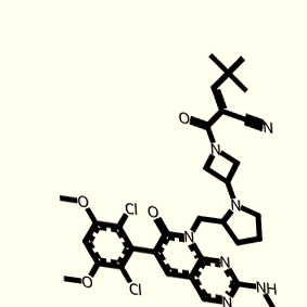 CNc1ncc2cc(-c3c(Cl)c(OC)cc(OC)c3Cl)c(=O)n(CC3CCCN3C3CN(C(=O)C(C#N)=CC(C)(C)C)C3)c2n1